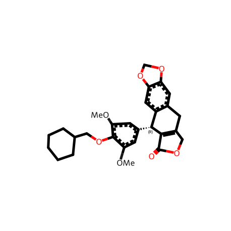 COc1cc([C@H]2C3=C(COC3=O)Cc3cc4c(cc32)OCO4)cc(OC)c1OCC1CCCCC1